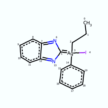 CC[CH2][Ag]([I])(=[C]1N=c2ccccc2=N1)[c]1ccccc1